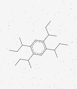 CCC(C)c1cc(C(C)CC)c(C(C)CC)cc1C(C)CC